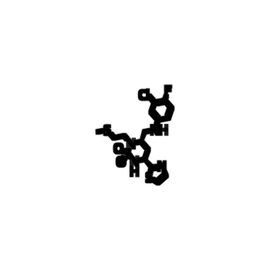 CSCCN1[C@@H](CNc2ccc(F)c(Cl)c2)C[C@@H](c2nccs2)NS1(=O)=O